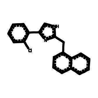 Clc1ccccc1-c1c[nH]c(Cc2cccc3ccccc23)n1